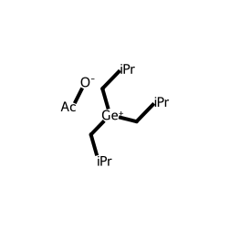 CC(=O)[O-].CC(C)[CH2][Ge+]([CH2]C(C)C)[CH2]C(C)C